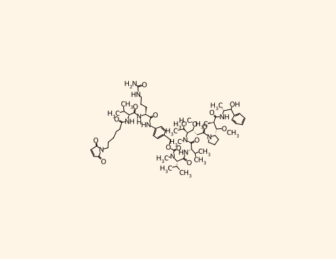 COC([C@@H](C)C(=O)N[C@H](C)[C@@H](O)c1ccccc1)[C@@H]1CCCN1C(=O)C[C@@H](OC)[C@H](C(C)C)N(C)C(=O)[C@@H](NC(=O)[C@H](C(C)C)N(C)C(=O)OCc1ccc(NC(=O)[C@H](CCCNC(N)=O)NC(=O)[C@@H](NC(=O)CCCCCN2C(=O)C=CC2=O)C(C)C)cc1)C(C)C